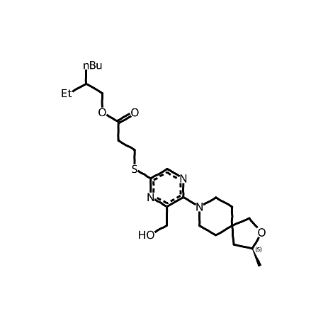 CCCCC(CC)COC(=O)CCSc1cnc(N2CCC3(CC2)CO[C@@H](C)C3)c(CO)n1